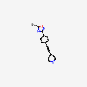 CCC(C)c1nc(-c2ccc(C#Cc3ccncc3)cc2)no1